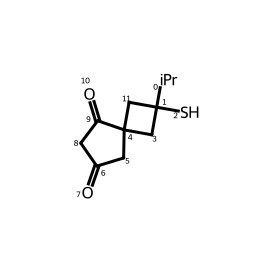 CC(C)C1(S)CC2(CC(=O)CC2=O)C1